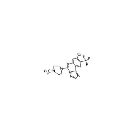 CN1CCN(c2nc3cc(Cl)c(C(F)(F)F)cc3c3ncnn23)CC1